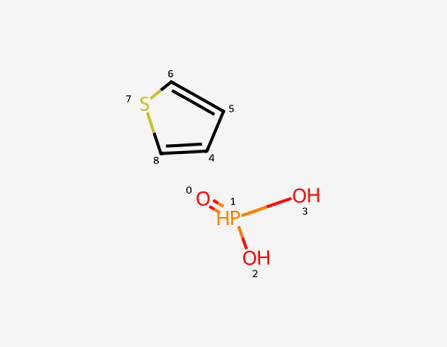 O=[PH](O)O.c1ccsc1